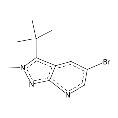 Cn1nc2ncc(Br)cc2c1C(C)(C)C